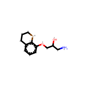 NCC(O)COc1cccc2c1SCCC2